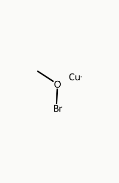 COBr.[Cu]